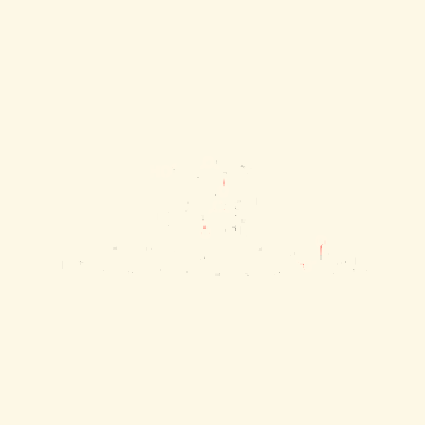 C=C(C)C(=O)OCCO.C=CC(=O)OC(C)(C)C.C=CC(=O)OCCCCCCCCCCCCCCCC